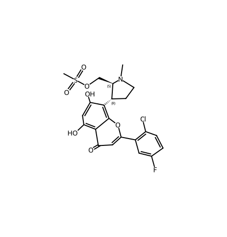 CN1CC[C@H](c2c(O)cc(O)c3c(=O)cc(-c4cc(F)ccc4Cl)oc23)[C@H]1COS(C)(=O)=O